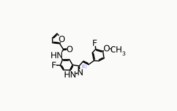 COc1ccc(/C=C/c2n[nH]c3cc(F)c(NC(=O)c4ccco4)cc23)cc1F